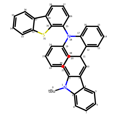 CC(C)(C)n1c2c(c3ccccc31)=CC(c1ccccc1N(c1ccccc1)c1cccc3c1sc1ccccc13)CC=2